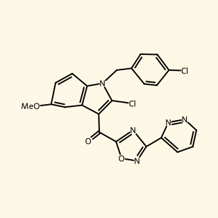 COc1ccc2c(c1)c(C(=O)c1nc(-c3cccnn3)no1)c(Cl)n2Cc1ccc(Cl)cc1